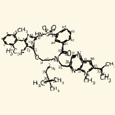 Cc1cccc(C)c1-c1nc2nc(c1F)OC[C@@H](CCC(C)(C)C)N(Cc1cnc3cc(C(C)C)n(C)c3n1)C(=O)c1cccc(c1)S(=O)(=O)N2